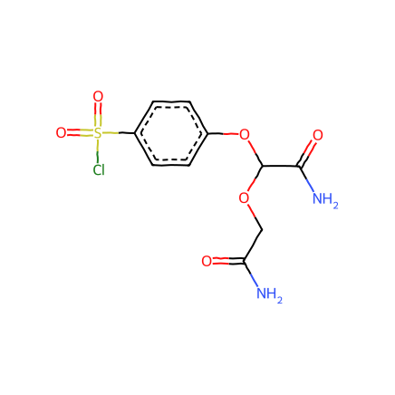 NC(=O)COC(Oc1ccc(S(=O)(=O)Cl)cc1)C(N)=O